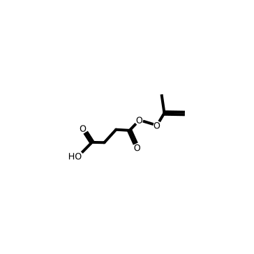 C=C(C)OOC(=O)CCC(=O)O